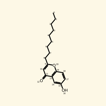 CCCCCCCCCc1cc(=O)c2cc(O)ccc2o1